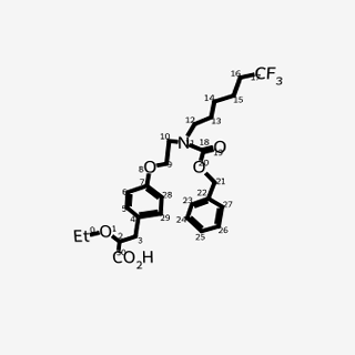 CCOC(Cc1ccc(OCCN(CCCCCC(F)(F)F)C(=O)OCc2ccccc2)cc1)C(=O)O